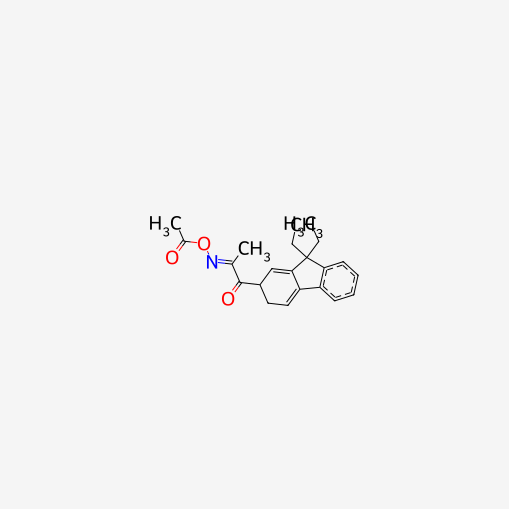 CCC1(CC)C2=CC(C(=O)/C(C)=N/OC(C)=O)CC=C2c2ccccc21